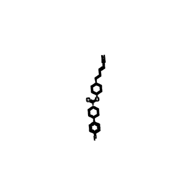 N#CC=CCC[C@H]1CC[C@H](OC(=O)[C@H]2CC[C@H](c3ccc(F)cc3)CC2)CC1